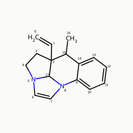 C=CC12CCN3C=CN(c4ccccc4C1C)C32